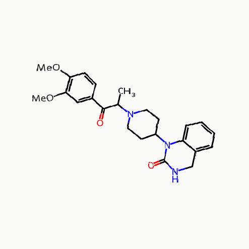 COc1ccc(C(=O)C(C)N2CCC(N3C(=O)NCc4ccccc43)CC2)cc1OC